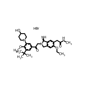 Br.CCOc1cc2c(cc1CC(=O)NC)C(=N)N(CC(=O)c1cc(N3CCC(O)CC3)c(OC)c(C(C)(C)C)c1)C2